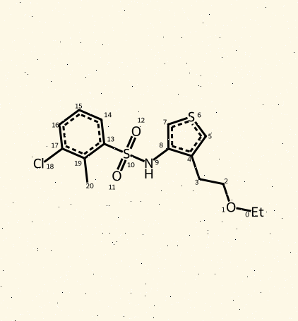 CCOCCc1cscc1NS(=O)(=O)c1cccc(Cl)c1C